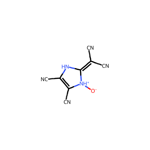 N#CC(C#N)=C1NC(C#N)=C(C#N)[NH+]1[O-]